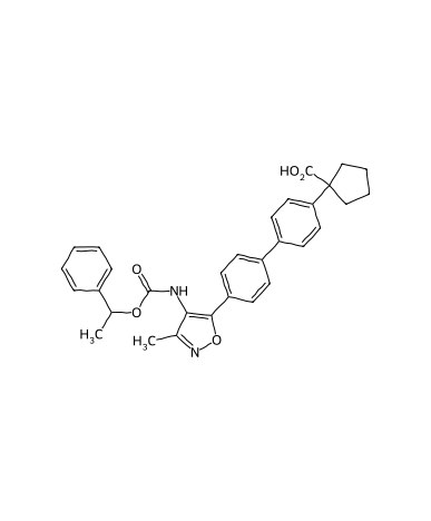 Cc1noc(-c2ccc(-c3ccc(C4(C(=O)O)CCCC4)cc3)cc2)c1NC(=O)OC(C)c1ccccc1